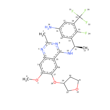 COc1cc2nc(C)nc(N[C@H](C)c3cc(N)cc(C(F)(F)F)c3F)c2cc1OC1CCOC1